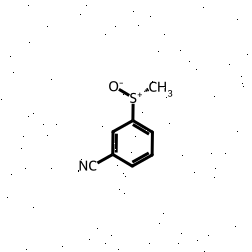 C[S@@+]([O-])c1cccc(C#N)c1